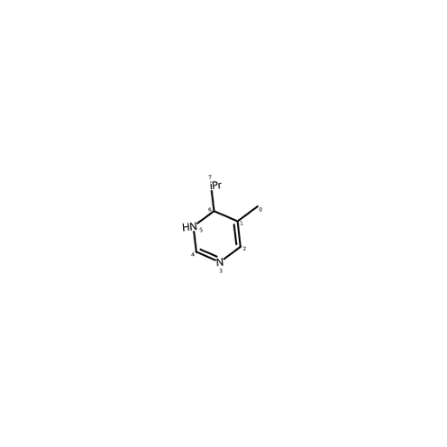 CC1=CN=CNC1C(C)C